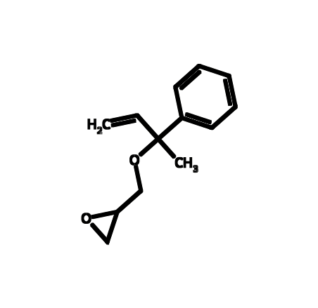 C=CC(C)(OCC1CO1)c1ccccc1